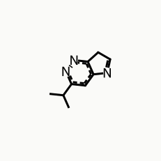 CC(C)c1cc2c(nn1)CC=N2